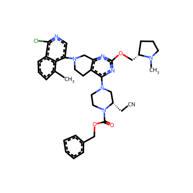 Cc1cccc2c(Cl)ncc(N3CCc4c(nc(OC[C@@H]5CCCN5C)nc4N4CCN(C(=O)OCc5ccccc5)[C@@H](CC#N)C4)C3)c12